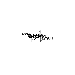 COc1ccc2c(c1)C1(C[C@H]1c1ccc3c(Nc4ncc(CCO)nc4OC)n[nH]c3c1)C(=O)N2